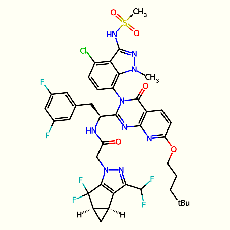 Cn1nc(NS(C)(=O)=O)c2c(Cl)ccc(-n3c([C@H](Cc4cc(F)cc(F)c4)NC(=O)Cn4nc(C(F)F)c5c4C(F)(F)[C@@H]4C[C@H]54)nc4nc(OCCCC(C)(C)C)ccc4c3=O)c21